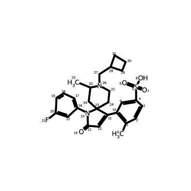 Cc1ccc(S(=O)(=O)O)cc1C1=CC(=O)N(c2cccc(F)c2)C12CCN(CC1CCC1)C(C)C2